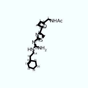 CC(=O)NCc1ccc(-c2csc(/N=C(\N)NCCC3=CCCCC3)n2)o1